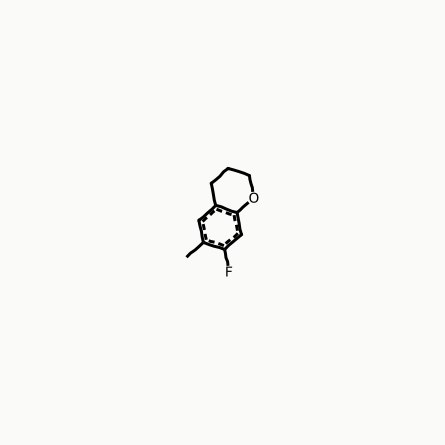 Cc1cc2c(cc1F)OCCC2